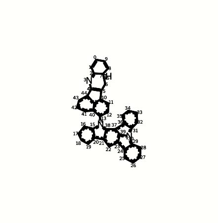 C1=CC2=NC3=C(C[C@@H]2C=C1)c1ccc(-n2c4ccccc4c4cc5c6ccccc6n6c7ccccc7c(c42)c56)c2cccc3c12